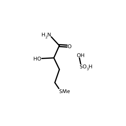 CSCCC(O)C(N)=O.O=S(=O)(O)O